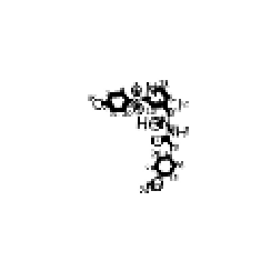 COc1ccc(S(=O)(=O)c2cc(CN(O)NC(=O)C[C@H]3CC[C@H](OC)CC3)ccn2)cc1.Cl